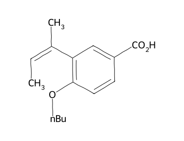 C/C=C(/C)c1cc(C(=O)O)ccc1OCCCC